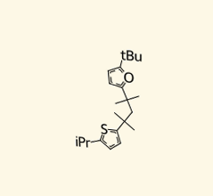 CC(C)c1ccc(C(C)(C)CC(C)(C)c2ccc(C(C)(C)C)o2)s1